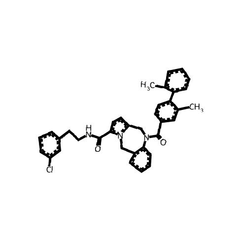 Cc1ccccc1-c1ccc(C(=O)N2Cc3ccc(C(=O)NCCc4cccc(Cl)c4)n3Cc3ccccc32)cc1C